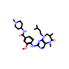 COc1cc(C(=O)NC2CCN(C)CC2)ccc1Nc1ncc2c(n1)N(CCC(C)C)CC(C)C(=O)N2C